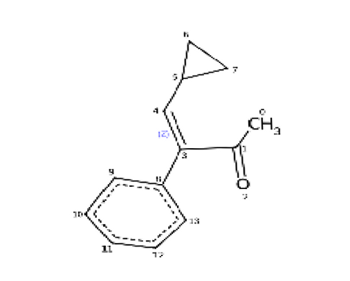 CC(=O)/C(=C\C1CC1)c1ccccc1